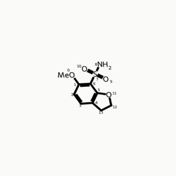 COc1ccc2c(c1S(N)(=O)=O)OCC2